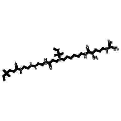 CCC(C)(C)CCC(=O)NCCSSCCNC(=O)CCN(CCCCCCNC(=O)[C@@H](N)CCCNC(=N)N)C(C)(C)CC